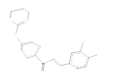 O=C(C=Cc1ccc(O)c([N+](=O)[O-])c1)c1ccc(NC2=NCCCS2)cc1